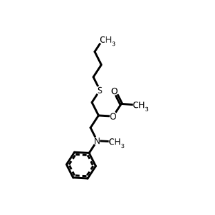 CCCCSCC(CN(C)c1ccccc1)OC(C)=O